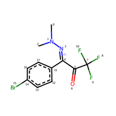 CN(C)/N=C(/C(=O)C(F)(F)F)c1ccc(Br)cc1